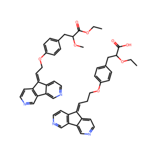 CCOC(=O)C(Cc1ccc(OCC=C2c3ccncc3-c3cnccc32)cc1)OC.CCOC(Cc1ccc(OCCC=C2c3ccncc3-c3cnccc32)cc1)C(=O)O